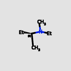 CC[C@@H](C)N(C)CC